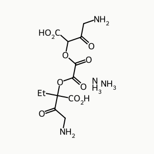 CCC(OC(=O)C(=O)OC(C(=O)O)C(=O)CN)(C(=O)O)C(=O)CN.N.N